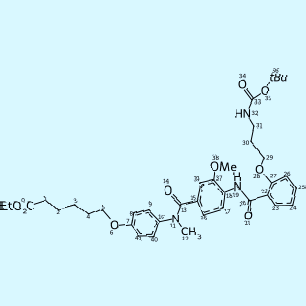 CCOC(=O)CCCCCOc1ccc(N(C)C(=O)c2ccc(NC(=O)c3ccccc3OCCCNC(=O)OC(C)(C)C)c(OC)c2)cc1